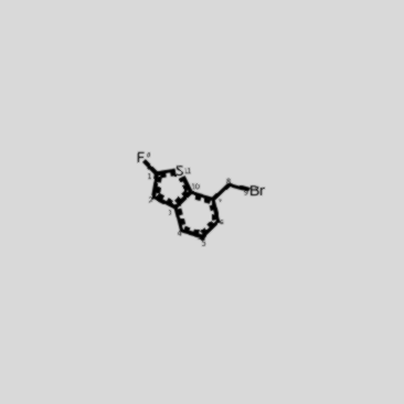 Fc1cc2cccc(CBr)c2s1